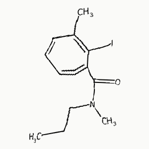 CCCN(C)C(=O)c1cccc(C)c1I